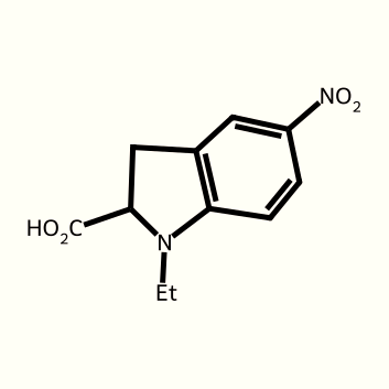 CCN1c2ccc([N+](=O)[O-])cc2CC1C(=O)O